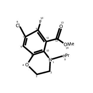 CCCN1CCOc2cc(Cl)c(F)c(C(=O)OC)c21